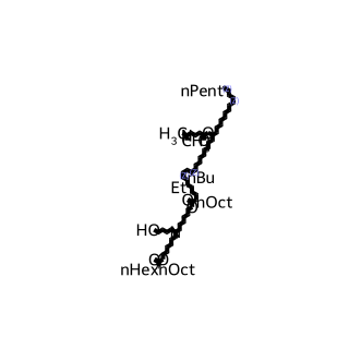 CCCCC/C=C\C/C=C\CCCCCCCCC(CCCCCCCC/C=C\C/C=C\C(CCCC)C(CC)CCCC(CCCCCCCC)C(=O)OCCCCCCN(CCCCO)CCCCCCOC(=O)C(CCCCCC)CCCCCCCC)OC(=O)CCCN(C)C